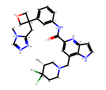 C[C@@H]1CN(Cc2cc(C(=O)Nc3cccc(C4(Cc5nncn5C)COC4)c3)nc3cc[nH]c23)CCC1(F)F